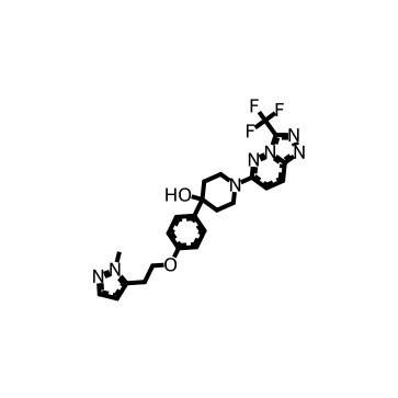 Cn1nccc1CCOc1ccc(C2(O)CCN(c3ccc4nnc(C(F)(F)F)n4n3)CC2)cc1